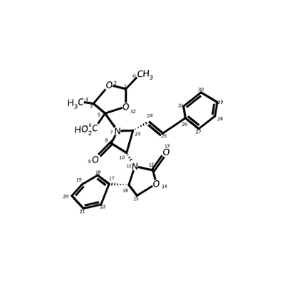 CC1OC(C)C(C(=O)O)(N2C(=O)[C@@H](N3C(=O)OC[C@@H]3c3ccccc3)[C@H]2C=Cc2ccccc2)O1